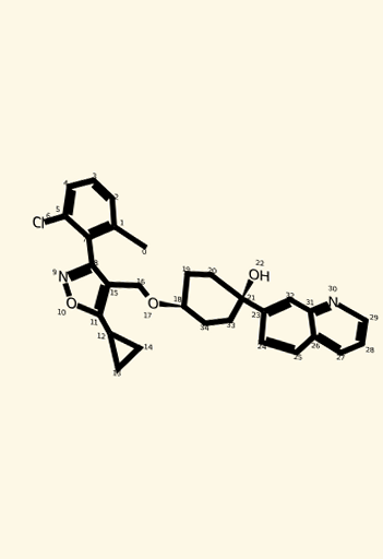 Cc1cccc(Cl)c1-c1noc(C2CC2)c1CO[C@H]1CC[C@](O)(c2ccc3cccnc3c2)CC1